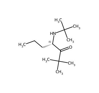 CCC[C@H](NC(C)(C)C)C(=O)C(C)(C)C